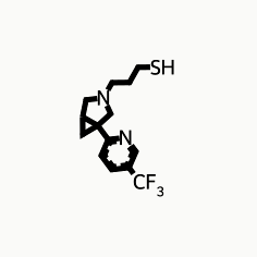 FC(F)(F)c1ccc(C23CC2CN(CCCS)C3)nc1